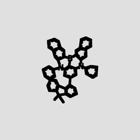 CC1(C)c2ccccc2-c2c(-c3cc4c5c(c3)N(c3ccccc3)c3cc6ccccc6cc3B5c3cc5ccccc5cc3N4c3ccccc3)cccc21